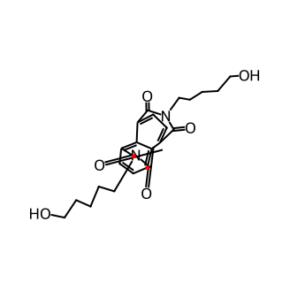 O=c1c2ccc(c(=O)n1CCCCCO)c1c3ccc(c(=O)n(CCCCCO)c3=O)c21